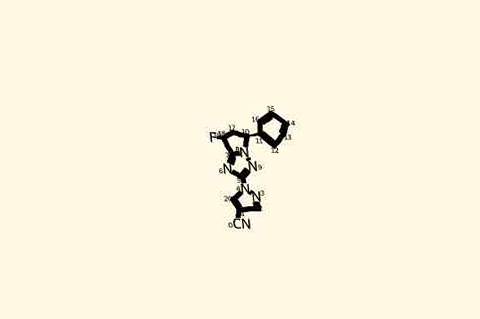 N#Cc1cnn(-c2nc3n(n2)[C@H](c2ccccc2)C[C@@H]3F)c1